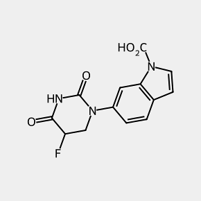 O=C1NC(=O)N(c2ccc3ccn(C(=O)O)c3c2)CC1F